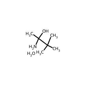 CC(C)(C)C(C)(N)O.O